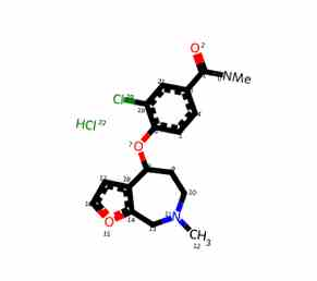 CNC(=O)c1ccc(OC2CCN(C)Cc3occc32)c(Cl)c1.Cl